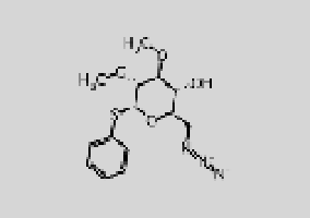 CO[C@@H]1[C@@H](OC)[C@H](O)[C@@H](CN=[N+]=[N-])O[C@H]1Sc1ccccc1